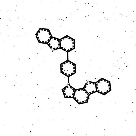 c1ccc2c(c1)sc1c(-c3ccc(-n4ccc5ccc6c7ccccc7sc6c54)cc3)cccc12